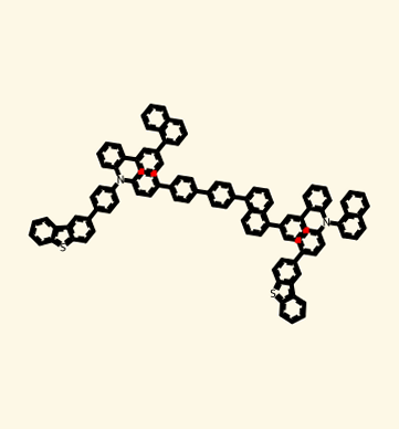 c1cc(-c2ccccc2N(c2ccc(-c3ccc(-c4ccc(-c5cccc6c(-c7cccc(-c8ccccc8N(c8ccc(-c9ccc%10sc%11ccccc%11c%10c9)cc8)c8cccc9ccccc89)c7)cccc56)cc4)cc3)cc2)c2ccc(-c3ccc4sc5ccccc5c4c3)cc2)cc(-c2cccc3ccccc23)c1